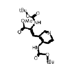 COC(=O)C(=Cc1cnccc1NC(=O)OC(C)(C)C)NC(=O)OC(C)(C)C